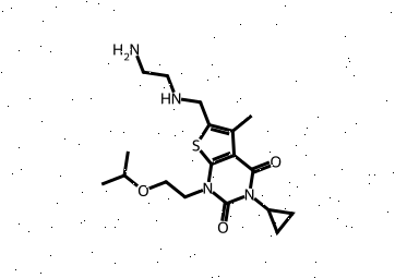 Cc1c(CNCCN)sc2c1c(=O)n(C1CC1)c(=O)n2CCOC(C)C